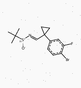 CC(C)(C)[S@@+]([O-])N=CC1(c2ccc(Br)c(F)c2)CC1